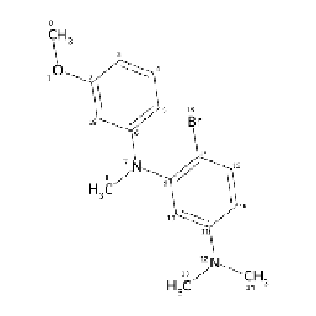 COc1cccc(N(C)c2cc(N(C)C)ccc2Br)c1